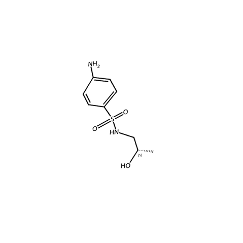 C[C@H](O)CNS(=O)(=O)c1ccc(N)cc1